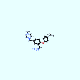 CSc1ccc(Oc2ccc(CN3CCN(C(C)C)CC3)cc2CN)cc1